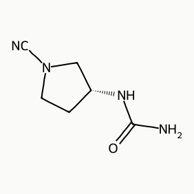 N#CN1CC[C@@H](NC(N)=O)C1